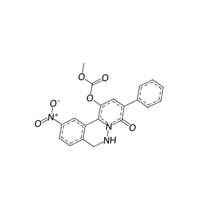 COC(=O)Oc1cc(-c2ccccc2)c(=O)n2c1-c1cc([N+](=O)[O-])ccc1CN2